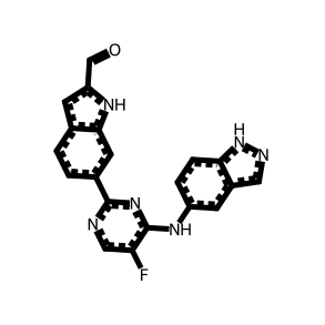 O=Cc1cc2ccc(-c3ncc(F)c(Nc4ccc5[nH]ncc5c4)n3)cc2[nH]1